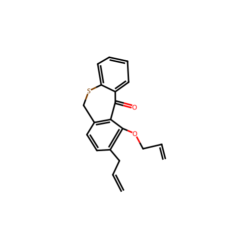 C=CCOc1c(CC=C)ccc2c1C(=O)c1ccccc1SC2